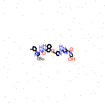 Cc1cccc(-n2nc(C(C)(C)C)cc2NC(=O)Nc2ccc(OCc3ccnc(Nc4cnc(C(=O)N5CCC(O)C5)cn4)c3)c3ccccc23)c1